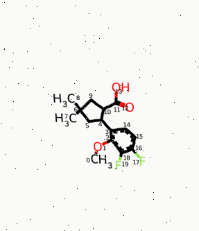 COc1c(C2CC(C)(C)CC2C(=O)O)ccc(F)c1F